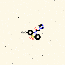 COc1ccc2c(c1)S(=O)(=O)c1ccccc1N2C(=O)Cn1ccnc1